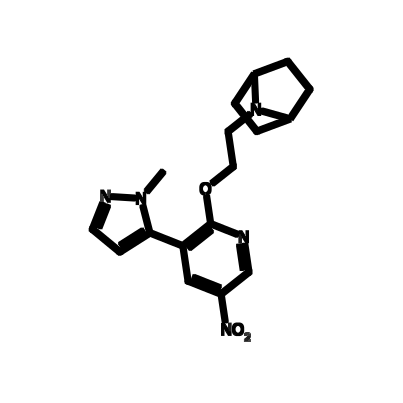 Cn1nccc1-c1cc([N+](=O)[O-])cnc1OCCN1C2CCC1CC2